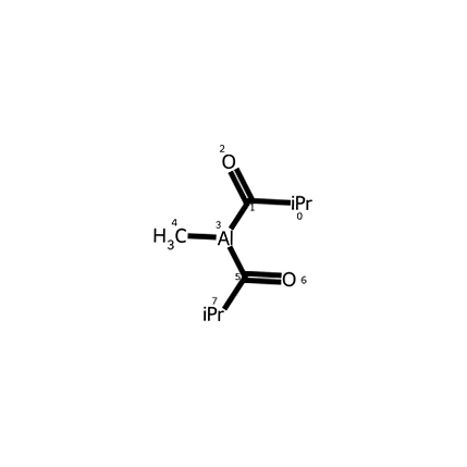 CC(C)[C](=O)[Al]([CH3])[C](=O)C(C)C